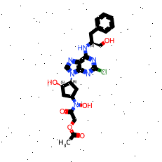 CC(=O)OCC(=O)N(O)C1C[C@@H](n2cnc3c(N[C@H](CO)Cc4ccccc4)nc(Cl)nc32)[C@@H](O)C1